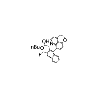 CCCCOC(O)Cc1c(CF)cc2ccccc2c1-c1ccc2c3c(ccnc13)CCO2